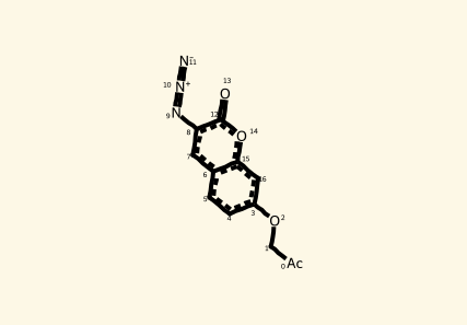 CC(=O)COc1ccc2cc(N=[N+]=[N-])c(=O)oc2c1